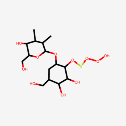 CC1C(OC2CC(CO)C(O)C(O)C2OSOOO)OC(CO)C(O)C1C